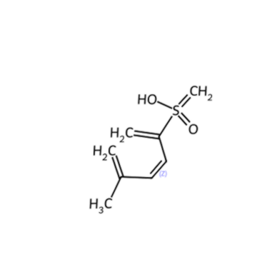 C=C(C)/C=C\C(=C)S(=C)(=O)O